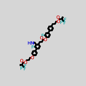 C=C(C(=O)OCCCOc1ccc(-c2ccc(CCC(=O)Oc3ccc(-c4ccc(CCCOC(=O)C(=C)C(F)(F)F)cc4)cc3F)c(C=N)c2F)cc1)C(F)(F)F